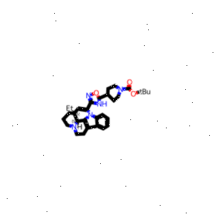 CC[C@@]12C=C(C3=NOC(C4CCN(C(=O)OC(C)(C)C)CC4)N3)n3c4c(c5ccccc53)CCN(CCC1)[C@H]42